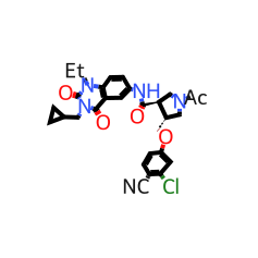 CCn1c(=O)n(CC2CC2)c(=O)c2cc(NC(=O)[C@H]3CN(C(C)=O)C[C@@H]3COc3ccc(C#N)c(Cl)c3)ccc21